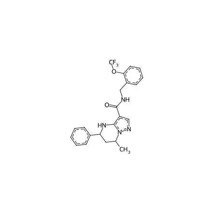 CC1CC(c2ccccc2)Nc2c(C(=O)NCc3ccccc3OC(F)(F)F)cnn21